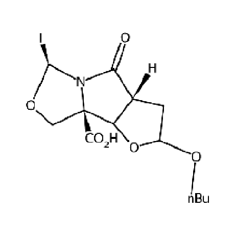 CCCCOC1C[C@H]2C(=O)N3[C@H](I)OC[C@@]3(C(=O)O)C2O1